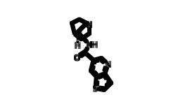 O=C(N[C@@H]1CN2CCC1CC2)c1cnc2ccsc2c1